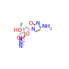 [N-]=[N+]=NC[C@]1(CO)O[C@@H](n2ccc(N)nc2=O)C[C@]1(O)F